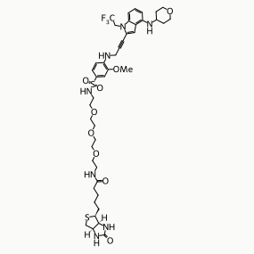 COc1cc(S(=O)(=O)NCCOCCOCCOCCNC(=O)CCCC[C@@H]2SC[C@@H]3NC(=O)N[C@@H]32)ccc1NCC#Cc1cc2c(NC3CCOCC3)cccc2n1CC(F)(F)F